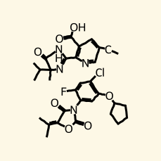 CC(C)=C1OC(=O)N(c2cc(OC3CCCC3)c(Cl)cc2F)C1=O.CCc1cnc(C2=NC(C)(C(C)C)C(=O)N2)c(C(=O)O)c1